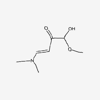 COC(O)C(=O)/C=C/N(C)C